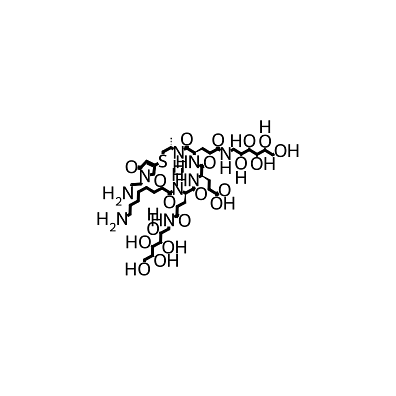 C[C@@H](CSC1=CC(=O)N(CCN)C1=O)NC(=O)[C@@H](CCC(=O)NC[C@H](O)[C@@H](O)[C@H](O)[C@H](O)CO)NC(=O)[C@@H](CCC(=O)O)NC(=O)[C@@H](CCC(=O)NC[C@H](O)[C@@H](O)[C@H](O)[C@H](O)CO)NC(=O)CCCCCCCN